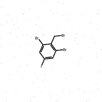 BrCc1c(Br)cc(I)cc1Br